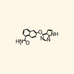 CNC(=O)c1cccc2cc(Oc3ncnc4[nH]ccc34)ccc12